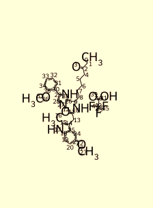 CCC(=O)CCCCCC(NC(=O)Cc1c(C)[nH]c2ccc(OC)cc12)c1ncc(-c2ccccc2OC)[nH]1.O=C(O)C(F)(F)F